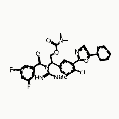 CNC(=N)N(C(=O)c1cc(F)cc(F)c1)C(COC(=O)N(C)C)c1ccc(Cl)c(-c2ncc(-c3ccccc3)o2)c1